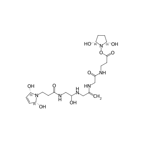 C=C(CNC(O)CNC(=O)CCN1[C@H](O)C=C[C@@H]1O)NCC(=O)NCCC(=O)ON1[C@H](O)CC[C@@H]1O